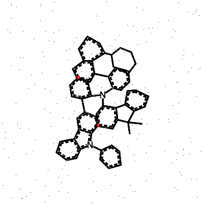 CC1(C)c2ccccc2-c2c(N(c3ccccc3-c3ccc4c(c3)c3ccccc3n4-c3ccccc3)c3ccccc3-c3cccc4cccc(C5CCCCC5)c34)cccc21